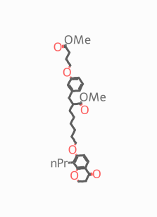 CCCc1c(OCCCCCCC(Cc2cccc(OCCCC(=O)OC)c2)C(=O)OC)ccc2c1OCCC2=O